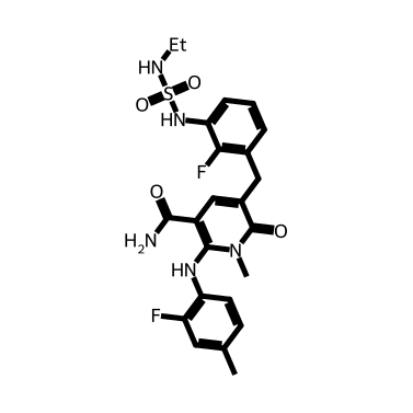 CCNS(=O)(=O)Nc1cccc(Cc2cc(C(N)=O)c(Nc3ccc(C)cc3F)n(C)c2=O)c1F